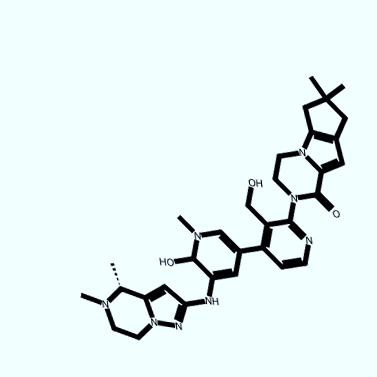 C[C@@H]1c2cc(NC3=CC(c4ccnc(N5CCn6c(cc7c6CC(C)(C)C7)C5=O)c4CO)=CN(C)C3O)nn2CCN1C